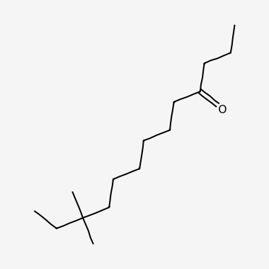 CCCC(=O)CCCCCCC(C)(C)CC